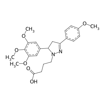 COc1ccc(C2=NN(CCCC(=O)O)C(c3cc(OC)c(OC)c(OC)c3)C2)cc1